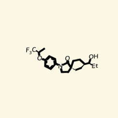 CC[C@H](O)[C@H]1CC[C@@]2(CCN(c3ccc(O[C@H](C)C(F)(F)F)cc3)C2=O)CC1